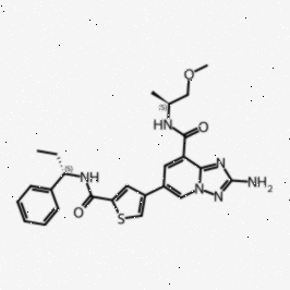 CC[C@H](NC(=O)c1cc(-c2cc(C(=O)N[C@@H](C)COC)c3nc(N)nn3c2)cs1)c1ccccc1